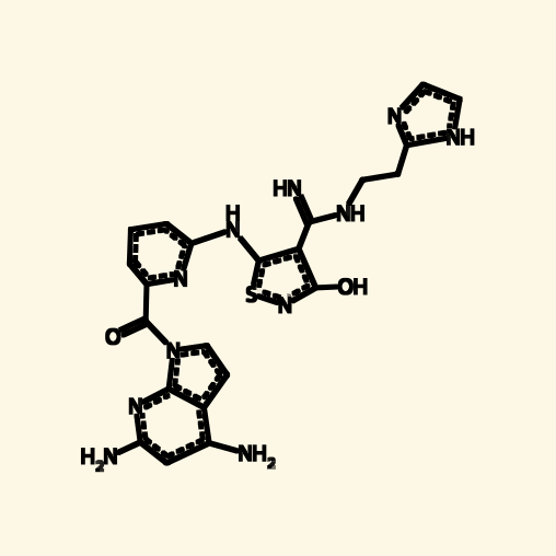 N=C(NCCc1ncc[nH]1)c1c(O)nsc1Nc1cccc(C(=O)n2ccc3c(N)cc(N)nc32)n1